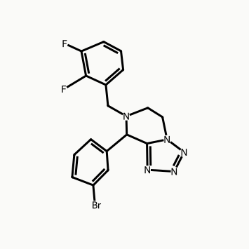 Fc1cccc(CN2CCn3nnnc3C2c2cccc(Br)c2)c1F